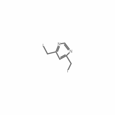 ICc1cc(CI)ncn1